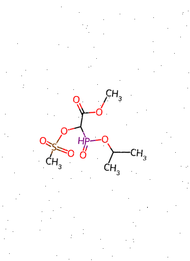 COC(=O)C(OS(C)(=O)=O)[PH](=O)OC(C)C